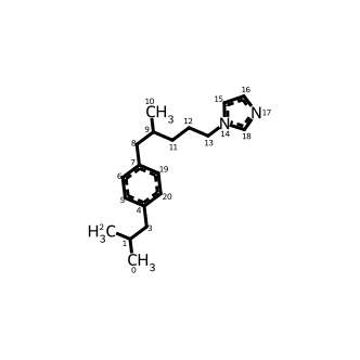 CC(C)Cc1ccc(CC(C)CCCn2ccnc2)cc1